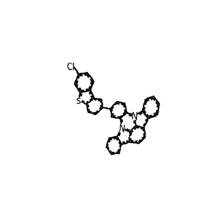 Clc1ccc2c(c1)sc1ccc(-c3ccc4c(c3)n3c5ccccc5c5ccc6c7ccccc7n4c6c53)cc12